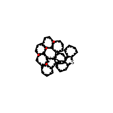 c1ccc(-c2ccccc2N(c2ccccc2-c2ccccc2-n2c3ccccc3c3ccccc32)c2cccc3sc4ccccc4c23)cc1